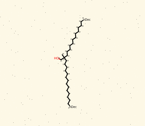 CCCCCCCCCCCCCCCCCCCCCCCCC(C)(CO)CCCCCCCCCCCCCCCCCCCCCC